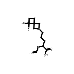 O=CNC(CCCN1CC2(CCC2(F)F)C1)C(=O)O